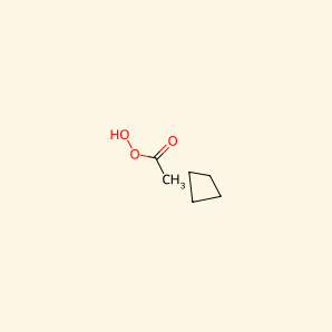 C1CCC1.CC(=O)OO